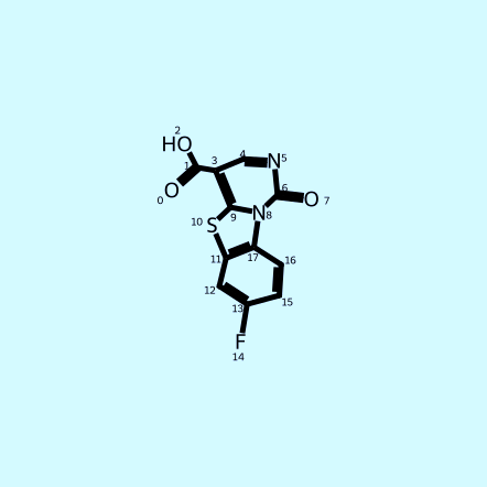 O=C(O)c1cnc(=O)n2c1sc1cc(F)ccc12